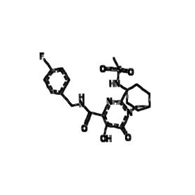 CS(=O)(=O)NC12CCC(CC1)Cn1c2nc(C(=O)NCc2ccc(F)cc2)c(O)c1=O